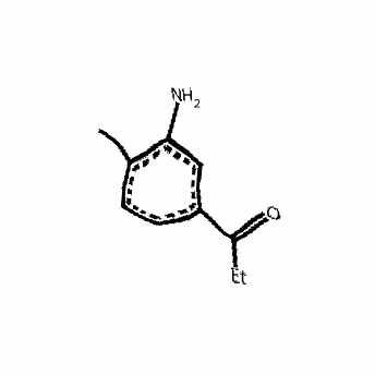 CCC(=O)c1ccc(C)c(N)c1